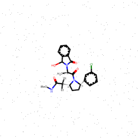 CCC(CC)(C(=O)NOC)[C@H]1CC[C@@H](c2cccc(Cl)c2)N1C(=O)[C@@H](C)N1C(=O)c2ccccc2C1O